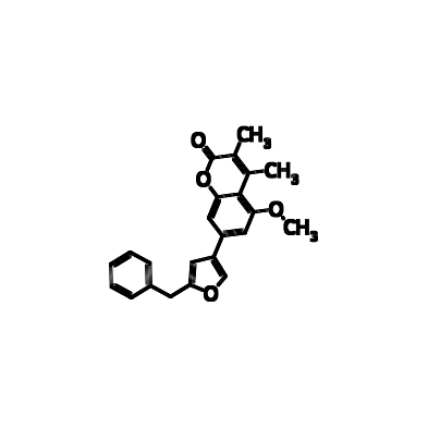 COc1cc(-c2coc(Cc3ccccc3)c2)cc2oc(=O)c(C)c(C)c12